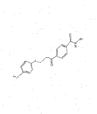 Cc1ccc(SCCC(=O)c2ccc(C(=O)NC(C)C)cc2)cc1